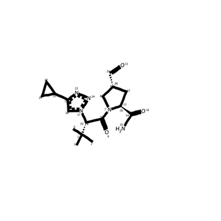 CC(C)(C)[C@@H](C(=O)N1C[C@H](C=O)C[C@H]1C(N)=O)n1cc(C2CC2)nn1